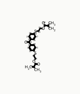 C=C(C)C(=O)OCCSc1ccc(C(=O)c2ccc(SCCOC(=O)C(=C)C)cc2)cc1